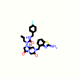 C=CCN(C(=O)NCc1ccc(F)cc1)N1CC(=O)N2CC(=O)N(Cc3cccc4sc(N)nc34)C[C@@H]21